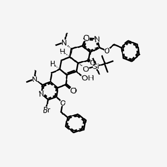 CN(C)c1nc(Br)c(OCc2ccccc2)c2c1C[C@H]1C[C@H]3[C@H](N(C)C)c4onc(OCc5ccccc5)c4C(=O)[C@@]3(O[Si](C)(C)C(C)(C)C)C(O)=C1C2=O